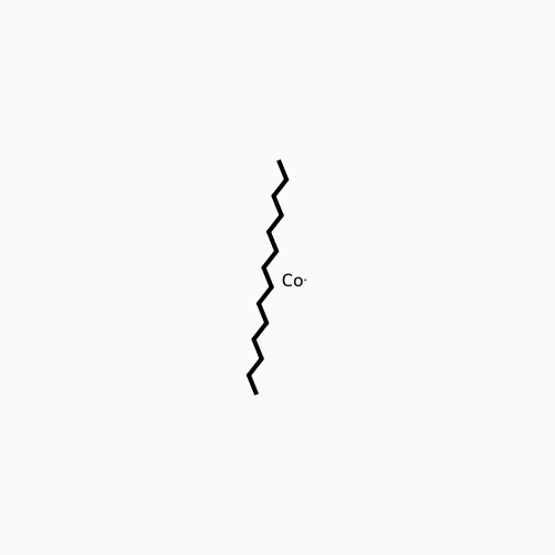 CCCCCCCCCCCCCC.[Co]